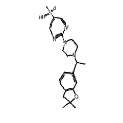 CC(c1ccc2c(c1)OC(C)(C)C2)N1CCN(c2ncc(S(C)(=N)=O)cn2)CC1